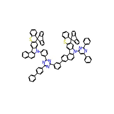 c1ccc(-c2ccc(-c3nc(-c4cccc(-c5ccc6c(ccc7c6c6cc8c(cc6n7-c6cc(-c7ccccc7)nc(-c7ccccc7)n6)C6(c7ccccc7S8)c7ccccc7-c7ccccc76)c5)c4)nc(-c4cccc(-n5c6cc7c(cc6c6c8ccccc8ccc65)Sc5ccccc5C75c6ccccc6-c6ccccc65)c4)n3)cc2)cc1